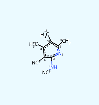 Cc1nc(NC#N)c(C#N)c(C)c1C